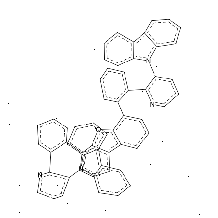 c1ccc(-c2cccc3c2oc2c(-c4ccccc4-c4ncccc4-n4c5ccccc5c5ccccc54)cccc23)c(-c2ncccc2-n2c3ccccc3c3ccccc32)c1